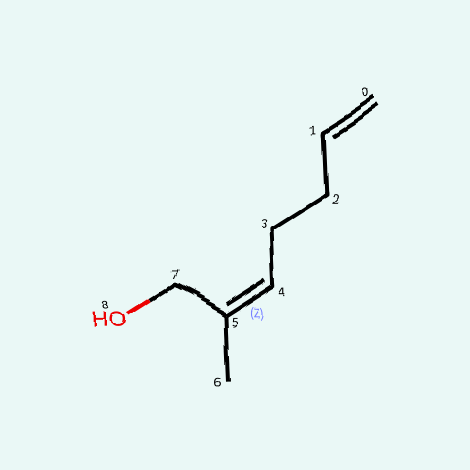 C=CCC/C=C(/C)CO